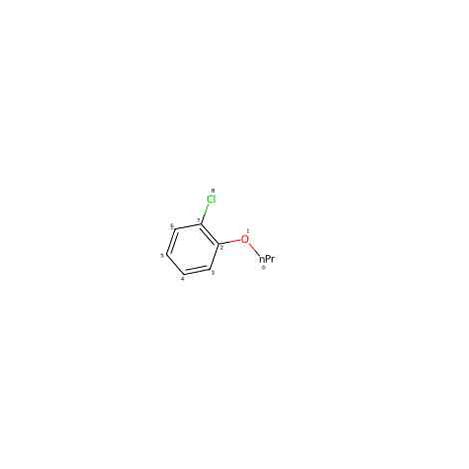 CCCOc1ccc[c]c1Cl